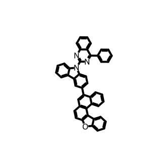 c1ccc(-c2nc(-n3c4ccccc4c4cc(-c5cc6ccc7oc8ccccc8c7c6c6ccccc56)ccc43)nc3ccccc23)cc1